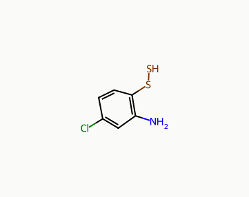 Nc1cc(Cl)ccc1SS